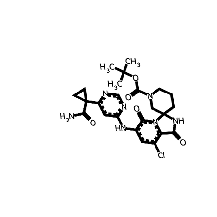 CC(C)(C)OC(=O)N1CCCC2(C1)NC(=O)c1c(Cl)cc(Nc3cc(C4(C(N)=O)CC4)ncn3)c(=O)n12